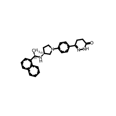 C[C@@H](N[C@H]1CCN(c2ccc(C3=NNC(=O)CC3)cc2)C1)c1cccc2ccccc12